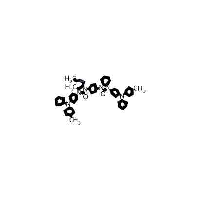 C=C/C=C\c1c(C)n(-c2ccc(N(c3ccccc3)c3ccc(C)cc3)cc2)c(=O)n1-c1ccc(-n2c(=O)n(-c3ccc(N(c4ccccc4)c4ccc(C)cc4)cc3)c3ccccc32)cc1